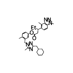 CCC(CC(=O)Oc1ccc(C)c(Cn2nc(CC3CCCCC3)nc2C)c1)c1ccc2c(nnn2C)c1C